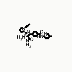 CC#CN1CCC[C@H]1c1nc(-c2ccc(C(=O)Nc3ccc(C)cn3)cc2)c(C(N)=O)n1N